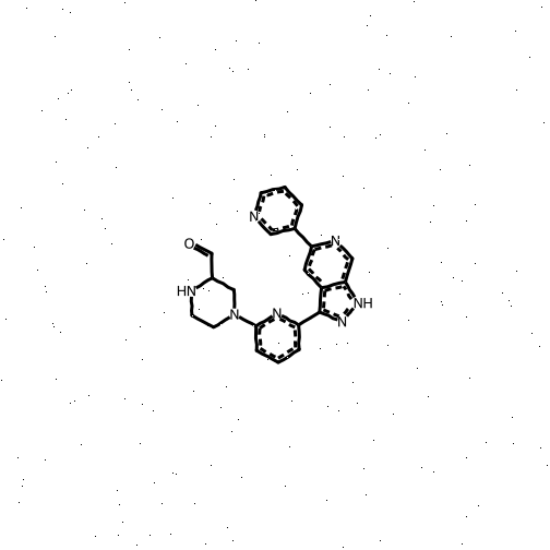 O=CC1CN(c2cccc(-c3n[nH]c4cnc(-c5cccnc5)cc34)n2)CCN1